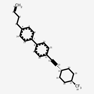 C=CCCc1ccc(-c2ccc(C#C[C@H]3CC[C@H](C(F)(F)F)CC3)cc2)cc1